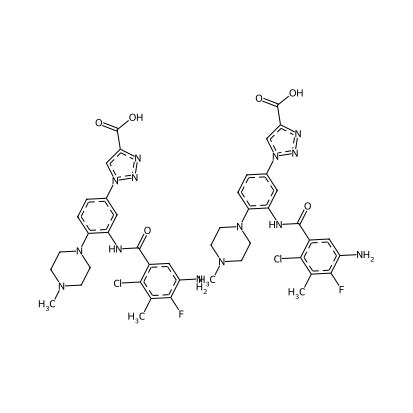 Cc1c(F)c(N)cc(C(=O)Nc2cc(-n3cc(C(=O)O)nn3)ccc2N2CCN(C)CC2)c1Cl.Cc1c(F)c(N)cc(C(=O)Nc2cc(-n3cc(C(=O)O)nn3)ccc2N2CCN(C)CC2)c1Cl